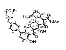 CCOC(=O)CNCc1ccc(-c2ccc(O)c3c2C[C@H]2C[C@H]4[C@@H](N(C)C)C(O)=C(C(=O)NC)C(=O)[C@@]4(S)C(O)=C2C3=O)cc1